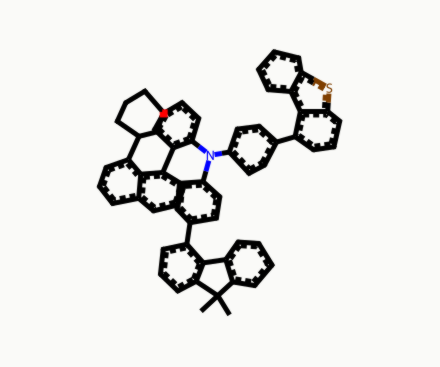 CC1(C)c2ccccc2-c2c(-c3ccc(N(c4ccc(-c5cccc6sc7ccccc7c56)cc4)c4ccccc4-c4cccc5cccc(C6CCCCC6)c45)cc3)cccc21